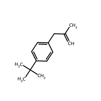 [CH]=C(C)Cc1ccc(C(C)(C)C)cc1